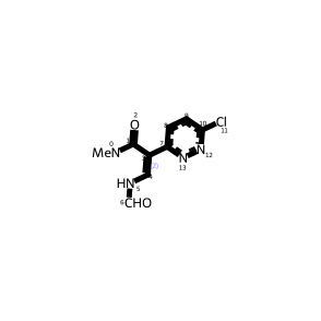 CNC(=O)/C(=C\NC=O)c1ccc(Cl)nn1